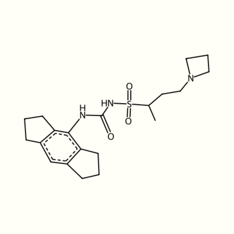 CC(CCN1CCC1)S(=O)(=O)NC(=O)Nc1c2c(cc3c1CCC3)CCC2